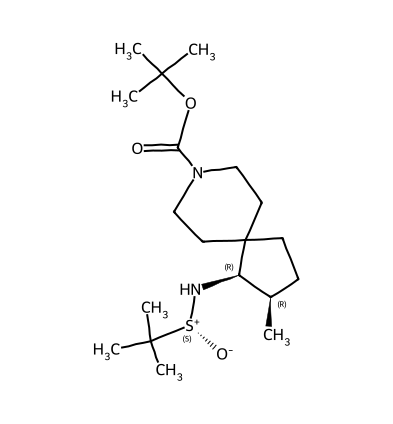 C[C@@H]1CCC2(CCN(C(=O)OC(C)(C)C)CC2)[C@@H]1N[S@+]([O-])C(C)(C)C